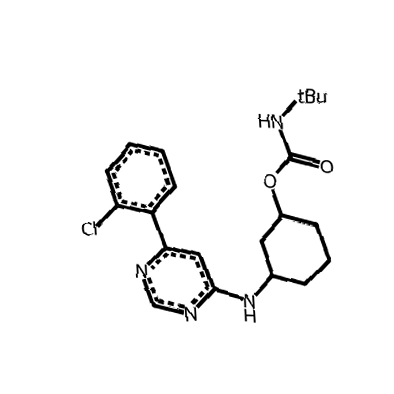 CC(C)(C)NC(=O)OC1CCCC(Nc2cc(-c3ccccc3Cl)ncn2)C1